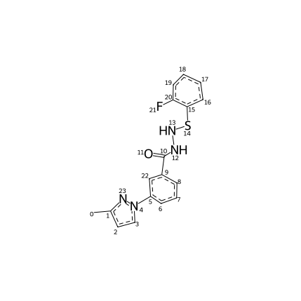 Cc1ccn(-c2cccc(C(=O)NNSc3ccccc3F)c2)n1